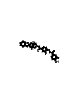 O=C(COc1ccc(C(=O)CN2C[C@@H]3C[C@](O)(Cc4ccccc4)C[C@@H]3C2)cc1F)c1ccc(O)c(F)c1